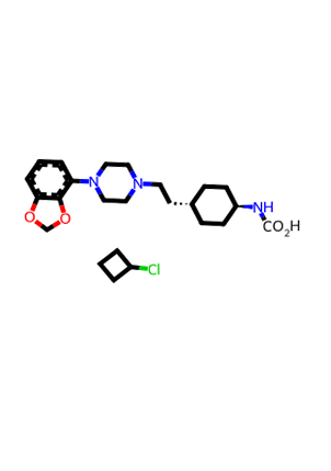 ClC1CCC1.O=C(O)N[C@H]1CC[C@H](CCN2CCN(c3cccc4c3OCO4)CC2)CC1